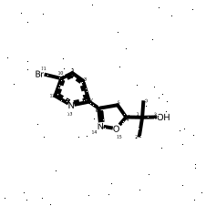 CC(C)(O)C1CC(c2ccc(Br)cn2)=NO1